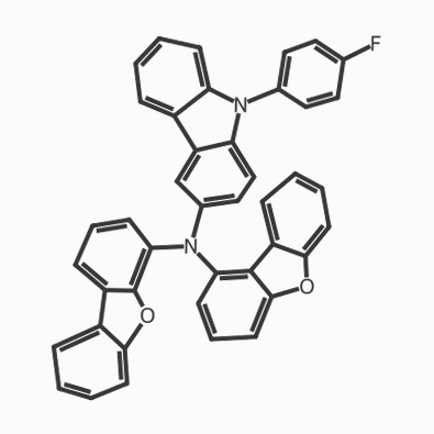 Fc1ccc(-n2c3ccccc3c3cc(N(c4cccc5c4oc4ccccc45)c4cccc5oc6ccccc6c45)ccc32)cc1